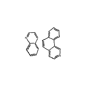 c1ccc2c(c1)ccc1ccncc12.c1ccc2ncccc2c1